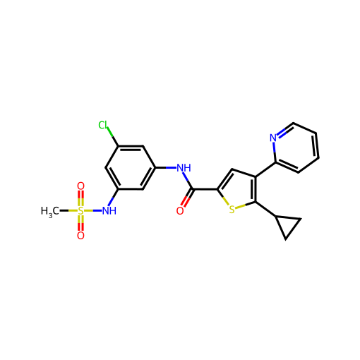 CS(=O)(=O)Nc1cc(Cl)cc(NC(=O)c2cc(-c3ccccn3)c(C3CC3)s2)c1